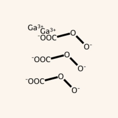 O=C([O-])O[O-].O=C([O-])O[O-].O=C([O-])O[O-].[Ga+3].[Ga+3]